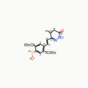 COc1cc([S+](C)[O-])c(OC)cc1C=CC1=NNC(=O)CC1C